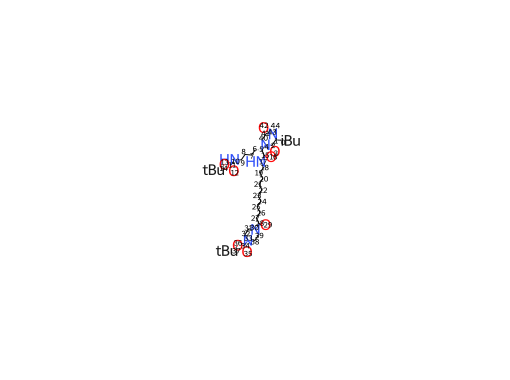 CCC(C)[C@H]1C(=O)N([C@@H](CCCCNC(=O)OC(C)(C)C)C(=O)NCCCCCCCCCCC(=O)N2CCN(C(=O)OC(C)(C)C)CC2)CC(=O)N1C